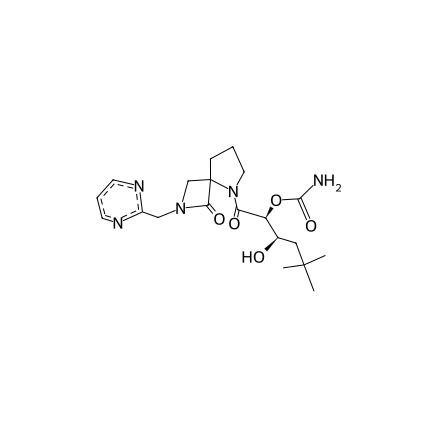 CC(C)(C)C[C@@H](O)[C@H](OC(N)=O)C(=O)N1CCCC12CN(Cc1ncccn1)C2=O